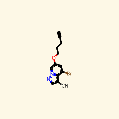 C#CCCCOc1cc(Br)c2c(C#N)cnn2c1